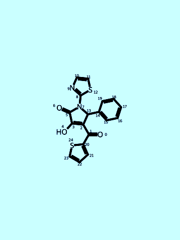 O=C(C1=C(O)C(=O)N(c2nccs2)C1c1ccccc1)c1cccs1